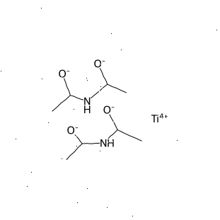 CC([O-])NC(C)[O-].CC([O-])NC(C)[O-].[Ti+4]